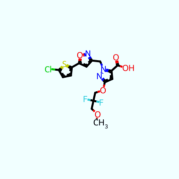 COCC(F)(F)COc1cc(C(=O)O)n(Cc2cc(-c3ccc(Cl)s3)on2)n1